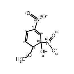 COC1C=CC([N+](=O)[O-])=CC1(O)[N+](=O)[O-]